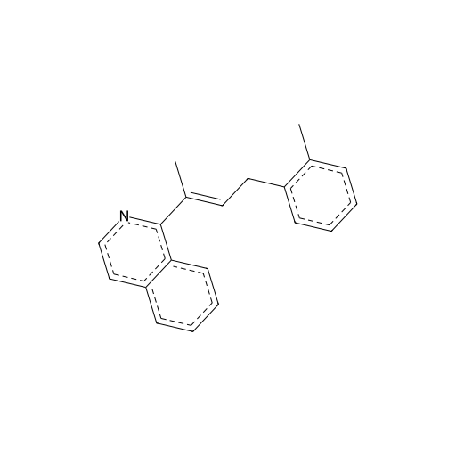 CC(=CCc1ccccc1C)c1nccc2ccccc12